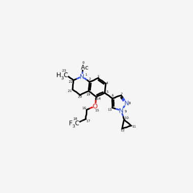 CC(=O)N1c2ccc(-c3cnn(C4CC4)c3)c(OCCC(F)(F)F)c2CCC1C